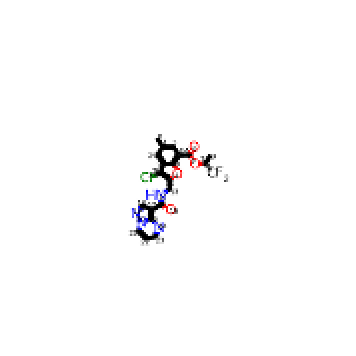 Cc1cc(C(=O)OC(C)C(F)(F)F)c2oc(CNC(=O)c3cnn4cccnc34)c(Cl)c2c1